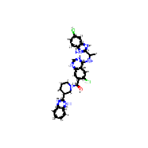 CC(Nc1ncnc2cc(C(=O)N3CCCC(c4nc5ccccc5[nH]4)C3)c(Cl)cc12)c1nc2cc(Cl)ccc2[nH]1